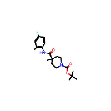 Cc1cc(F)ccc1NC(=O)C1(C)CCN(C(=O)OC(C)(C)C)CC1